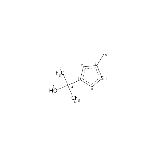 [CH2]c1cc(C(O)(C(F)(F)F)C(F)(F)F)cs1